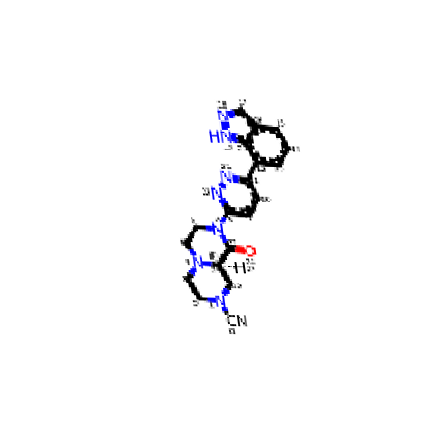 N#CN1CCN2CCN(c3ccc(-c4cccc5cn[nH]c45)nn3)C(=O)[C@H]2C1